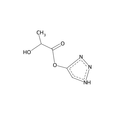 CC(O)C(=O)Oc1c[nH]nn1